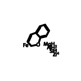 C1=Cc2ccccc2OC1.[AlH3].[Fe].[MgH2].[SiH4].[Zr]